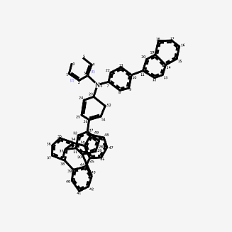 C/C=C\C(=C/C)N(c1ccc(-c2ccc3ccccc3c2)cc1)C1C=CC(c2ccc3c(c2)-c2c4cccc2-c2cccc-3c2-c2ccccc2-4)=CC1